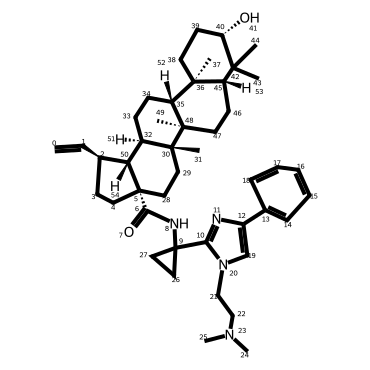 C=C[C@@H]1CC[C@]2(C(=O)NC3(c4nc(-c5ccccc5)cn4CCN(C)C)CC3)CC[C@]3(C)[C@H](CC[C@@H]4[C@@]5(C)CC[C@H](O)C(C)(C)[C@@H]5CC[C@]43C)[C@@H]12